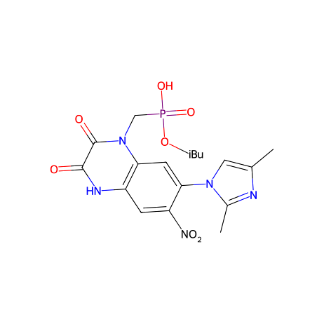 CCC(C)OP(=O)(O)Cn1c(=O)c(=O)[nH]c2cc([N+](=O)[O-])c(-n3cc(C)nc3C)cc21